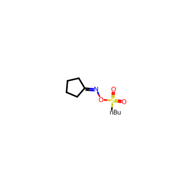 CCCCS(=O)(=O)ON=C1CCCC1